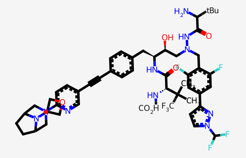 CC(C)(C)C(N)C(=O)NN(Cc1c(F)cc(-c2ccn(C(F)F)n2)cc1F)C[C@H](O)[C@H](Cc1ccc(C#Cc2ccc(N3CC4CCC(C3)N4C3COC3)nc2)cc1)NC(=O)[C@@H](NC(=O)O)C(C)(C)C(F)(F)F